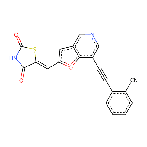 N#Cc1ccccc1C#Cc1cncc2cc(/C=C3\SC(=O)NC3=O)oc12